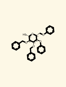 S[C@@H]1O[C@H](COc2ccccc2)[C@@H](Oc2ccccc2)[C@H](OCc2ccccc2)[C@H]1OCc1ccccc1